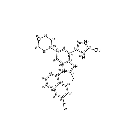 Cc1nc2c(-c3cnc(Cl)[nH]3)cc(N3CCOCC3)cc2n1-c1ccnc2cc(F)ccc12